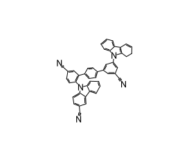 N#Cc1cc(-c2ccc(-c3cc(C#N)ccc3-n3c4ccccc4c4cc(C#N)ccc43)cc2)cc(-n2c3c(c4ccccc42)C=CCC3)c1